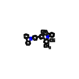 CC1C=C(C#N)C(n2c3c(c4ccccc42)C=CCC3)=C(c2cc(C#N)cc(-c3ccc(N4c5ccccc5C5C=CC=CC54)cc3)c2)C1